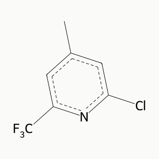 Cc1cc(Cl)nc(C(F)(F)F)c1